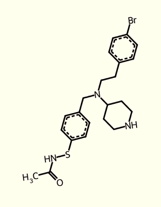 CC(=O)NSc1ccc(CN(CCc2ccc(Br)cc2)C2CCNCC2)cc1